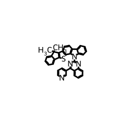 CC1(C)c2ccccc2-c2sc3c(ccc4c5ccccc5n(-c5nc(-c6cccnc6)c6ccccc6n5)c43)c21